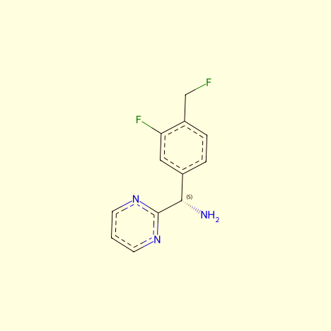 N[C@@H](c1ccc(CF)c(F)c1)c1ncccn1